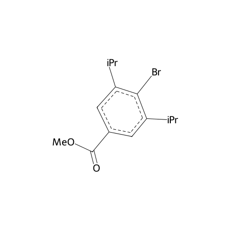 COC(=O)c1cc(C(C)C)c(Br)c(C(C)C)c1